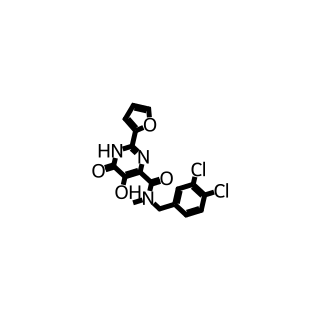 CN(Cc1ccc(Cl)c(Cl)c1)C(=O)c1nc(-c2ccco2)[nH]c(=O)c1O